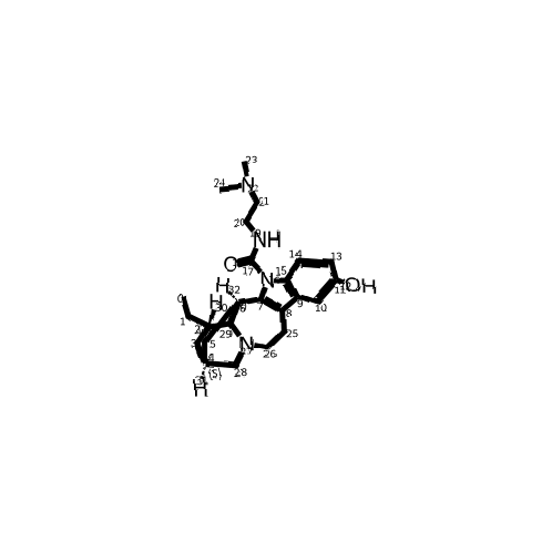 CC[C@H]1C[C@H]2C[C@H]3c4c(c5cc(O)ccc5n4C(=O)NCCN(C)C)CCN(C2)C13